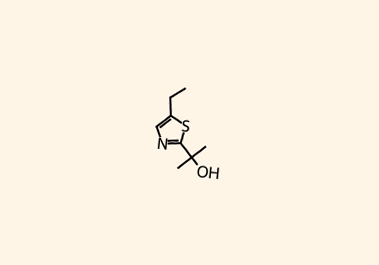 CCc1cnc(C(C)(C)O)s1